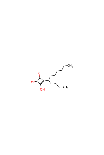 CCCCCCC(CCCC)c1c(O)c(=O)c1=O